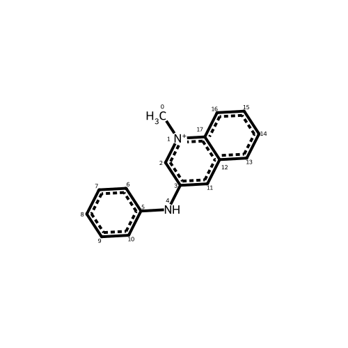 C[n+]1cc(Nc2ccccc2)cc2ccccc21